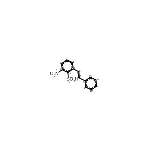 O=[N+]([O-])c1cccc(C=Cc2ccccc2)c1S(=O)(=O)O